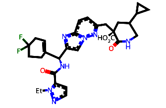 CCn1nccc1C(=O)N[C@@H](C1=CCC(F)(F)CC1)c1cn2nc(C[C@]3(C(=O)O)CC(C4CC4)CNC3=O)ccc2n1